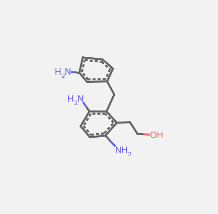 Nc1cccc(Cc2c(N)ccc(N)c2CCO)c1